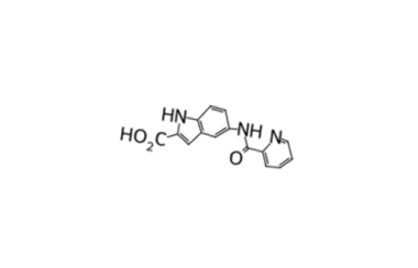 O=C(Nc1ccc2[nH]c(C(=O)O)cc2c1)c1ccccn1